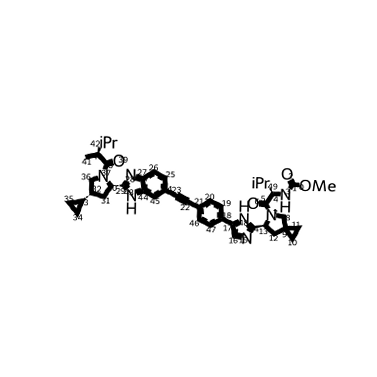 COC(=O)N[C@H](C(=O)N1CC2(CC2)C[C@H]1c1ncc(-c2ccc(C#Cc3ccc4nc([C@@H]5C[C@H](C6CC6)CN5C(=O)[C@@H](C)C(C)C)[nH]c4c3)cc2)[nH]1)C(C)C